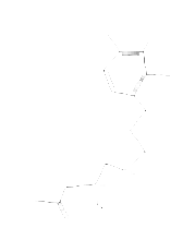 C[C@@H](CCCc1ccc(F)c(F)c1F)C[C@H](N)CC(=O)O